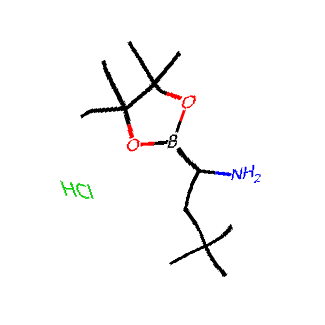 CC(C)(C)CC(N)B1OC(C)(C)C(C)(C)O1.Cl